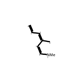 C=C/C=C(C)\C=C/NC